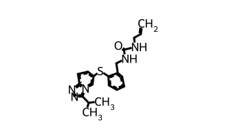 C=CCNC(=O)NCc1ccccc1Sc1ccc2nnc(C(C)C)n2c1